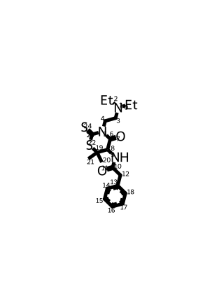 CCN(CC)CCN1C(=O)C(NC(=O)Cc2ccccc2)C(C)(C)SC1=S